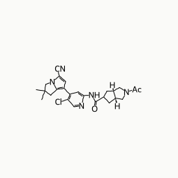 CC(=O)N1C[C@H]2CC(C(=O)Nc3cc(-c4cc(C#N)n5c4CC(C)(C)C5)c(Cl)cn3)C[C@H]2C1